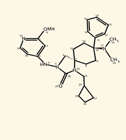 COc1cc(NN2C[C@]3(CC[C@](c4ccccc4)(N(C)C)CC3)N(CC3CCC3)C2=O)ccn1